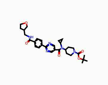 CC(C)(C)OC(=O)N1CCC(N(C(=O)c2cnc(-c3ccc(C(=O)NCC4CCOC4)cc3)nc2)C2CC2)CC1